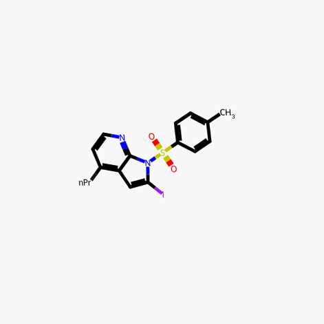 CCCc1ccnc2c1cc(I)n2S(=O)(=O)c1ccc(C)cc1